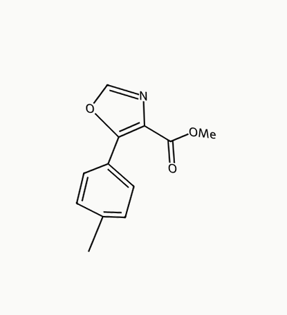 COC(=O)c1ncoc1-c1ccc(C)cc1